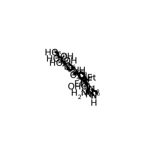 CCn1c(CN(C=O)c2nc3cc[nH]c3nc2N)[n+](CC)c2ccc(C(=O)NC3CCN(C[C@H](O)[C@@H](O)[C@H](O)[C@H](O)CO)CC3)cc21